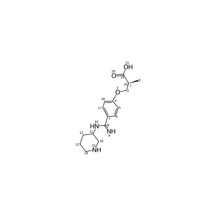 C[C@@H](COc1ccc(C(=N)NC2CCCNC2)cc1)C(=O)O